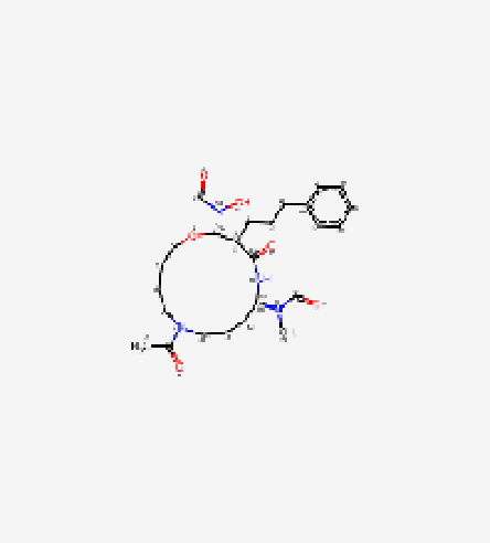 CC(=O)N1CCCCO[C@H](N(O)C=O)[C@@H](CCCc2ccccc2)C(=O)N[C@@H](N(C)C=O)CCC1